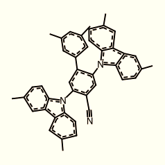 Cc1cc(C)cc(-c2cc(-n3c4ccc(C)cc4c4cc(C)ccc43)c(C#N)cc2-n2c3ccc(C)cc3c3cc(C)ccc32)c1